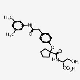 Cc1cc(C)cc(NC(=O)Cc2ccc(OC3(C(=O)N[C@@H](CO)C(=O)O)CCCC3)cc2)c1